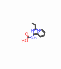 CCc1nc(NC(=O)O)c2ccccn12